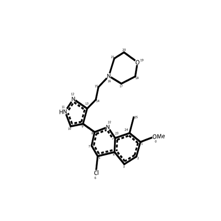 COc1ccc2c(Cl)cc(-c3c[nH]nc3CCN3CCOCC3)nc2c1C